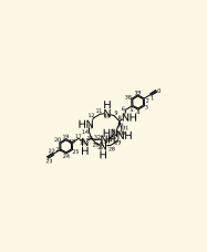 C#Cc1ccc(CNC23CNCCNCC(NCc4ccc(C#C)cc4)(CNCCNC2)CNCCNC3)cc1